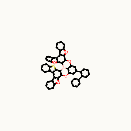 c1ccc(-c2ccccc2-c2cc3c4c(c2)Oc2c(c5sc6ccccc6c5c5c2oc2ccccc25)B4c2c(c4oc5ccccc5c4c4c2oc2ccccc24)O3)cc1